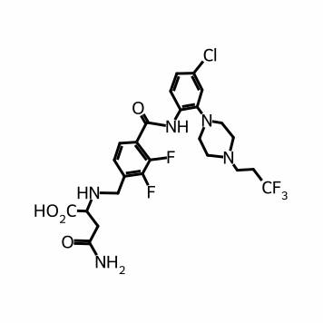 NC(=O)CC(NCc1ccc(C(=O)Nc2ccc(Cl)cc2N2CCN(CCC(F)(F)F)CC2)c(F)c1F)C(=O)O